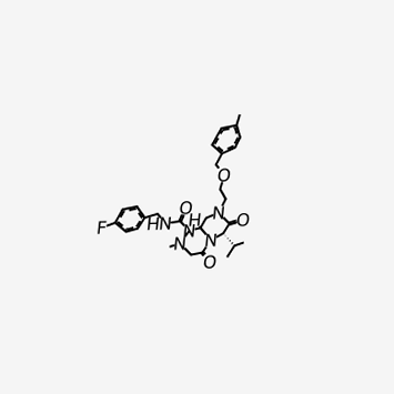 Cc1ccc(COCCN2C[C@H]3N(C(=O)CN(C)N3C(=O)NCc3ccc(F)cc3)[C@@H](C(C)C)C2=O)cc1